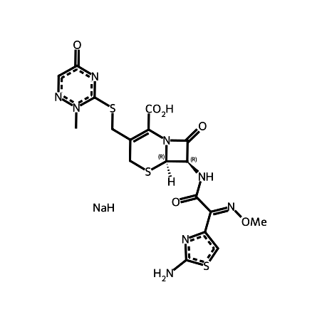 CON=C(C(=O)N[C@@H]1C(=O)N2C(C(=O)O)=C(CSc3nc(=O)cnn3C)CS[C@H]12)c1csc(N)n1.[NaH]